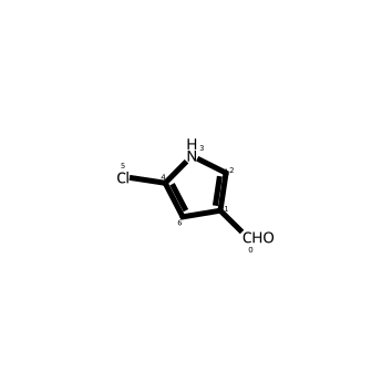 O=Cc1[c][nH]c(Cl)c1